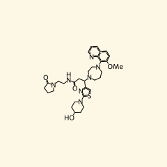 COc1ccc2cccnc2c1N1CCCN(C(CC(=O)NCCN2CCCC2=O)c2csc(N3CCC(O)CC3)n2)CC1